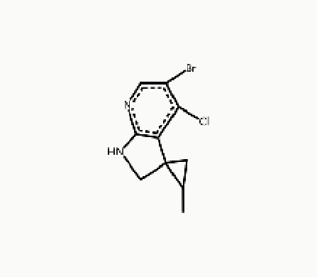 CC1CC12CNc1ncc(Br)c(Cl)c12